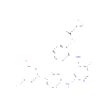 O=C(Nc1ccccc1Nc1nc(Nc2ccc(N(CCO)CCO)cc2)ncc1I)C1CC1